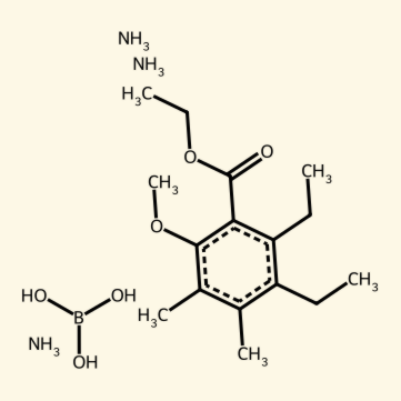 CCOC(=O)c1c(CC)c(CC)c(C)c(C)c1OC.N.N.N.OB(O)O